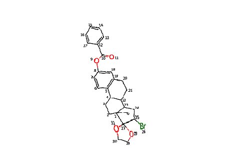 CC12CCC3c4ccc(OC(=O)c5ccccc5)cc4CCC3C1CC(Br)C21OCCO1